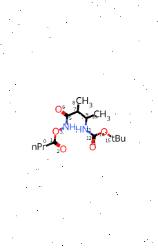 CCCC(=O)ONC(=O)C(C)C(C)NC(=O)OC(C)(C)C